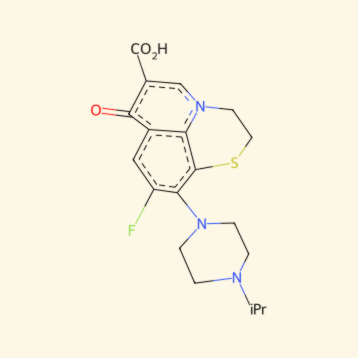 CC(C)N1CCN(c2c(F)cc3c(=O)c(C(=O)O)cn4c3c2SCC4)CC1